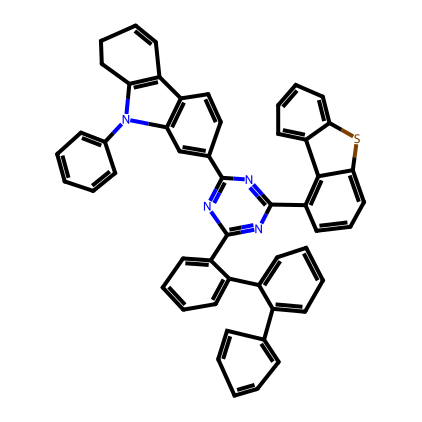 C1=Cc2c(n(-c3ccccc3)c3cc(-c4nc(-c5ccccc5-c5ccccc5-c5ccccc5)nc(-c5cccc6sc7ccccc7c56)n4)ccc23)CC1